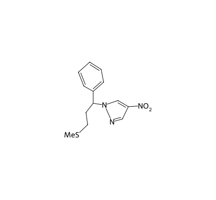 CSCCC(c1ccccc1)n1cc([N+](=O)[O-])cn1